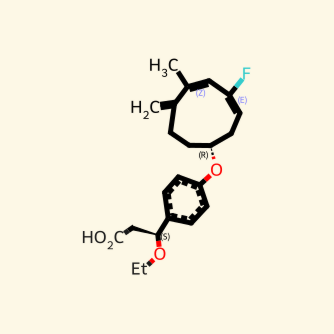 C=C1CC[C@@H](Oc2ccc([C@H](CC(=O)O)OCC)cc2)C/C=C(F)\C=C/1C